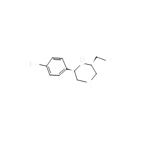 CC(C)C[C@H]1COC[C@@H](c2ccc(C(F)(F)F)cc2)N1